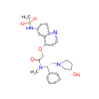 CN(C(=O)COc1ccnc2ccc(NS(C)(=O)=O)cc12)[C@H](CN1CC[C@H](O)C1)c1ccccc1